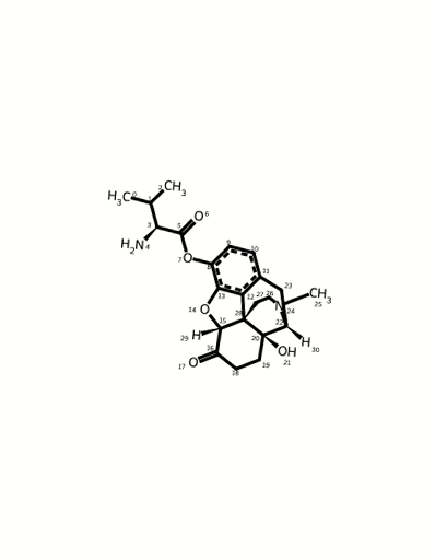 CC(C)[C@H](N)C(=O)Oc1ccc2c3c1O[C@H]1C(=O)CC[C@@]4(O)[C@@H](C2)N(C)CC[C@]314